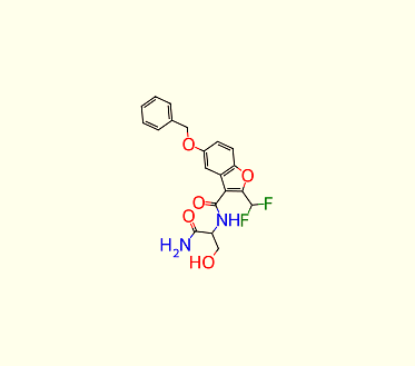 NC(=O)C(CO)NC(=O)c1c(C(F)F)oc2ccc(OCc3ccccc3)cc12